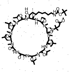 CC[C@@H]1NC(=O)[C@H]([C@H](O)[C@H](C)CCCCCCNC(=O)OC(C)(C)C)N(C)C(=O)[C@H](C(C)C)N(C)C(=O)[C@H](CC(C)C)N(C)C(=O)[C@H](CC(C)C)N(C)C(=O)[C@H](C)NC(=O)[C@@H](C)NC(=O)[C@@H](CC(C)C)N(C)C(=O)[C@@H](C(C)C)NC(=O)[C@H](CC(C)C)N(C)C(=O)[C@@H](CSC(C)(C)CC(=O)OC)N(C)C1=O